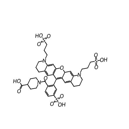 O=C(O)C1CCN(C(=O)c2ccc(S(=O)(=O)O)cc2C2=C3C=C4CCCN(CCCS(=O)(=O)O)C4=CC3Oc3cc4c(cc32)CCCN4CCCS(=O)(=O)O)CC1